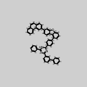 c1ccc(C2=NC(c3cccc(-c4ccccc4)c3)=NC(c3ccc(-c4cccc5oc6cc(-c7ccc8ccc9ccccc9c8c7)ccc6c45)cc3)N2)cc1